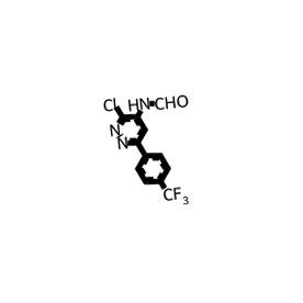 O=CNc1cc(-c2ccc(C(F)(F)F)cc2)nnc1Cl